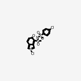 CS(=O)(=NS(=O)(=O)c1ccc(Cl)cc1)C1=C2C=S(Cl)C=C2C=CC1=O